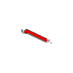 CCOS(=O)(=O)C(F)(C(F)(F)F)C(F)(F)C(F)(F)C(F)(F)C(F)(F)C(F)(F)C(F)(F)C(F)(F)C(F)(F)C(F)(F)C(F)(F)C(F)(F)C(F)(F)C(F)(F)C(F)(F)C(F)(F)C(F)(F)C(F)(F)C(F)(F)C(F)(F)C(F)(F)C(F)(F)C(F)(F)C(F)(F)C(F)(F)C(F)(F)C(F)(F)C(F)(F)C(F)(F)C(F)(F)C(F)(F)C(F)(F)F